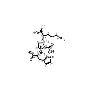 NCCC[C@H](N)C(=O)O.N[C@@H](Cc1ccsc1)C(=O)O.O=C(O)[C@@H]1CCCN1